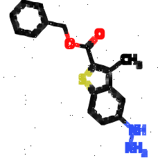 Cc1c(C(=O)OCc2ccccc2)sc2ccc(NN)cc12